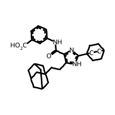 O=C(O)c1cccc(NC(=O)c2nc(C34CCC(CC3)CC4)[nH]c2CCC23CC4CC(CC(C4)C2)C3)c1